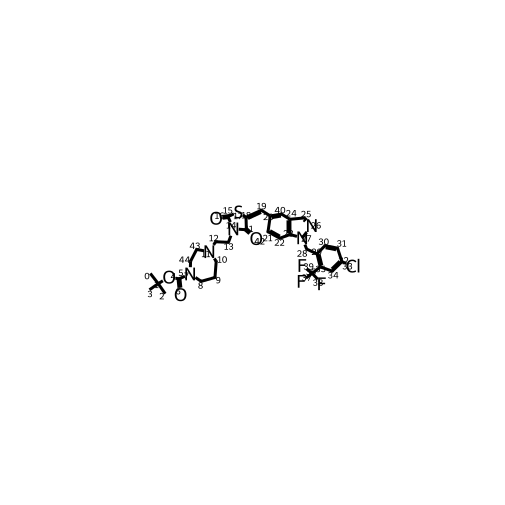 CC(C)(C)OC(=O)N1CCCN(CCN2C(=O)S/C(=C/c3ccc4c(cnn4Cc4ccc(Cl)cc4C(F)(F)F)c3)C2=O)CC1